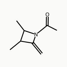 C=C1C(C)C(C)N1C(C)=O